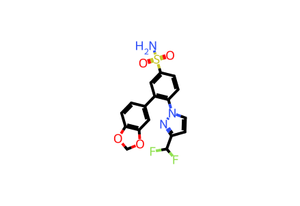 NS(=O)(=O)c1ccc(-n2ccc(C(F)F)n2)c(-c2ccc3c(c2)OCO3)c1